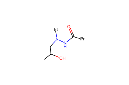 CCN(CC(C)O)NC(=O)C(C)C